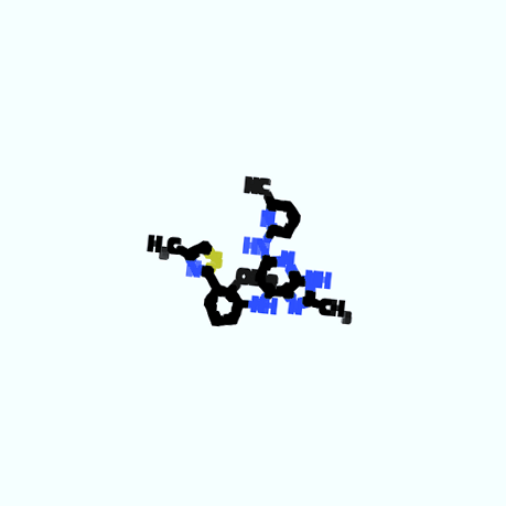 COc1c(Nc2cc(Nc3cccc(C#N)n3)nc3[nH]c(C)nc23)cccc1-c1nc(C)cs1